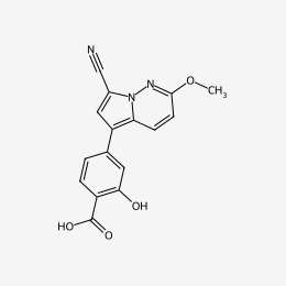 COc1ccc2c(-c3ccc(C(=O)O)c(O)c3)cc(C#N)n2n1